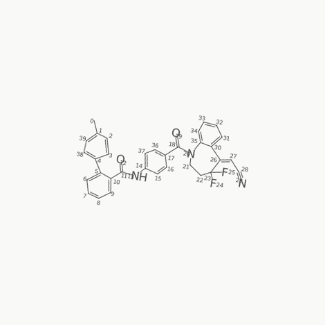 Cc1ccc(-c2ccccc2C(=O)Nc2ccc(C(=O)N3CCC(F)(F)C(=CC#N)c4ccccc43)cc2)cc1